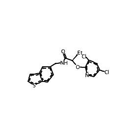 CC[C@@H](Oc1ncc(Cl)cc1Cl)C(=O)NCc1ccc2sccc2c1